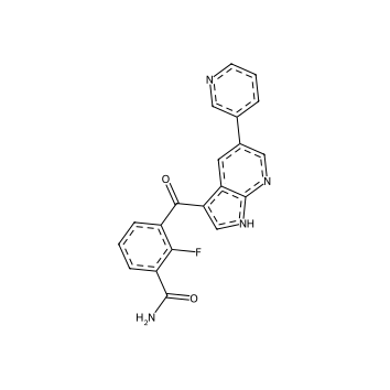 NC(=O)c1cccc(C(=O)c2c[nH]c3ncc(-c4cccnc4)cc23)c1F